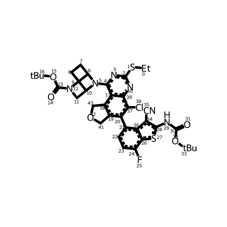 CCSc1nc(N2C3CCC34C2CN4C(=O)OC(C)(C)C)c2c3c(c(-c4ccc(F)c5sc(NC(=O)OC(C)(C)C)c(C#N)c45)c(Cl)c2n1)COC3